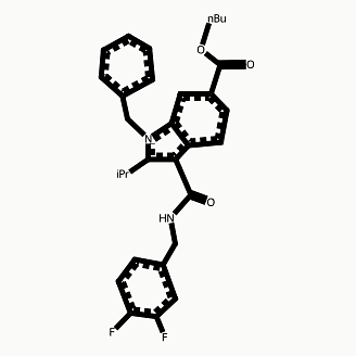 CCCCOC(=O)c1ccc2c(C(=O)NCc3ccc(F)c(F)c3)c(C(C)C)n(Cc3ccccc3)c2c1